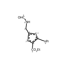 CCCc1sc(CNC=O)nc1C(=O)OCC